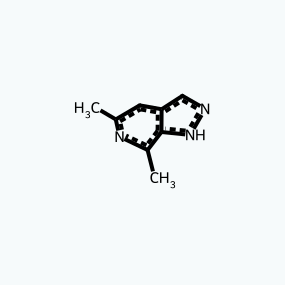 Cc1cc2cn[nH]c2c(C)n1